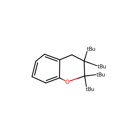 CC(C)(C)C1(C(C)(C)C)Cc2ccccc2OC1(C(C)(C)C)C(C)(C)C